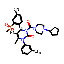 CC1=C(C#N)[C@@H](c2ccc(C#N)cc2S(C)(=O)=O)N(C(=O)N2CCN(C3CCCC3)CC2)C(=O)N1c1cccc(C(F)(F)F)c1